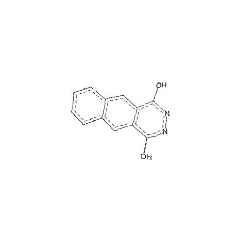 Oc1nnc(O)c2cc3ccccc3cc12